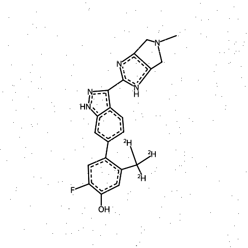 [2H]C([2H])([2H])c1cc(O)c(F)cc1-c1ccc2c(-c3nc4c([nH]3)CN(C)C4)n[nH]c2c1